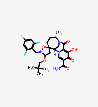 C[C@H]1CC[C@]2(CC(OCC(C)(C)C)N(Cc3c(F)cc(F)cc3F)O2)[C@H]2CN1C(=O)c1c(O)c(=O)c(C(N)=O)cn12